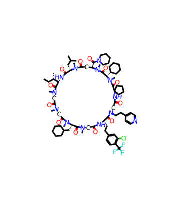 CC[C@H](C)[C@@H]1NC(=O)[C@H](CC(C)C)N(C)C(=O)C[C@@H](C(=O)N2CCCCC2)N(C)C(=O)[C@H](C2CCCCC2)N(C)C(=O)C2(CCCC2)NC(=O)CN(CCc2ccncc2)C(=O)[C@H](CCc2ccc(C(F)(F)F)c(Cl)c2)NC(=O)CN(C)C(=O)[C@H](CC2CCCCC2)N(C)C(=O)CN(C)C(=O)CN(C)C1=O